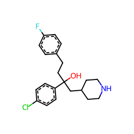 OC(CCc1ccc(F)cc1)(CC1CCNCC1)c1ccc(Cl)cc1